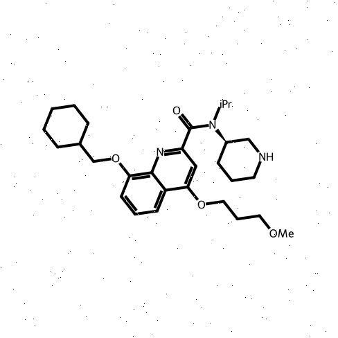 COCCCOc1cc(C(=O)N(C(C)C)[C@@H]2CCCNC2)nc2c(OCC3CCCCC3)cccc12